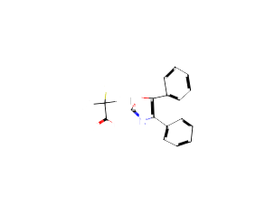 CC(C)(S)C(=O)O.c1ccc(-c2ncoc2-c2ccccc2)cc1